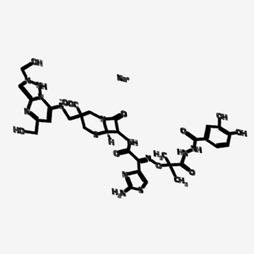 CC(C)(ON=C(C(=O)NC1C(=O)N2CC(CSC3=CC(CO)=NC4=CN(CO)NN43)(C(=O)[O-])CS[C@H]12)c1csc(N)n1)C(=O)NNC(=O)c1ccc(O)c(O)c1.[Na+]